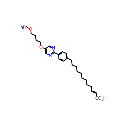 CCCOCCCCOc1cnc(-c2ccc(CCCCCCCCC/C=C/C(=O)O)cc2)nc1